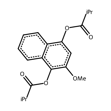 COc1cc(OC(=O)C(C)C)c2ccccc2c1OC(=O)C(C)C